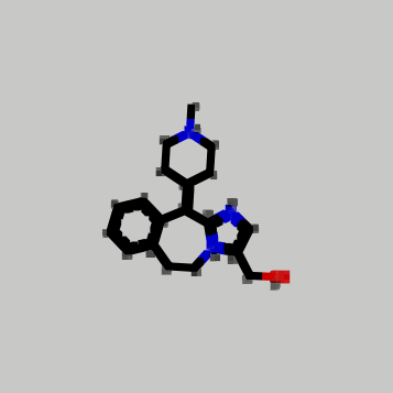 CN1CCC(=C2c3ccccc3CCn3c(CO)cnc32)CC1